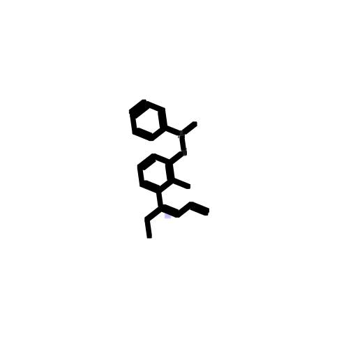 C=C/C=C(/CC)c1cccc(SN(C)c2cc#ccc2)c1C